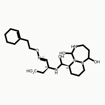 O=C(O)C[C@@H](/C=N/OCCC1=CCCCC1)NC(O)[C@@H]1CCCN2C(O)CCNC(O)N12